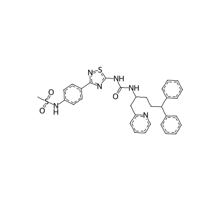 CS(=O)(=O)Nc1ccc(-c2nsc(NC(=O)NC(CCC(c3ccccc3)c3ccccc3)Cc3ccccn3)n2)cc1